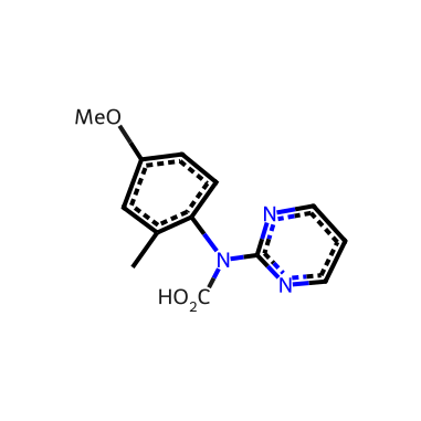 COc1ccc(N(C(=O)O)c2ncccn2)c(C)c1